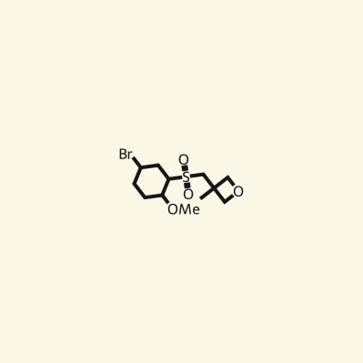 COC1CCC(Br)CC1S(=O)(=O)CC1(C)COC1